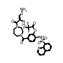 NS/C=C(\N)C(=O)N1CCCN(C(=O)c2ccc(NS(=O)(=O)c3cccc4cccnc34)c(OC(=O)C(F)(F)F)c2)CC1